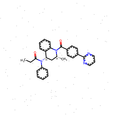 CCC(=O)N(c1ccccc1)[C@H]1C[C@@H](C)N(C(=O)c2ccc(-c3ncccn3)cc2)c2ccccc21